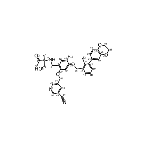 CC(=O)[C@@](C)(CO)NCc1cc(F)c(OCc2cccc(-c3ccc4c(c3)OCCO4)c2C)cc1OCc1cncc(C#N)c1